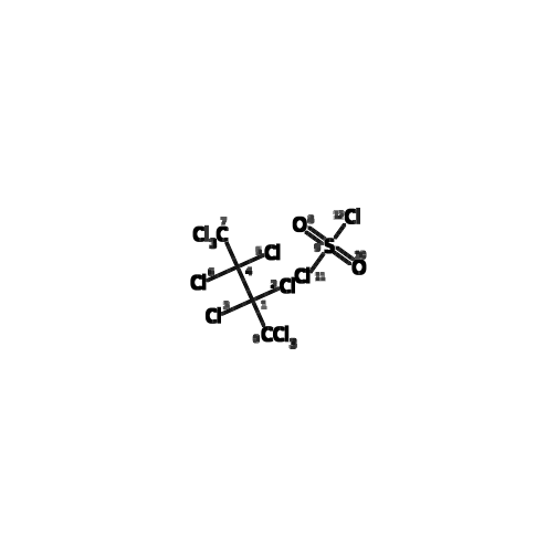 ClC(Cl)(Cl)C(Cl)(Cl)C(Cl)(Cl)C(Cl)(Cl)Cl.O=S(=O)(Cl)Cl